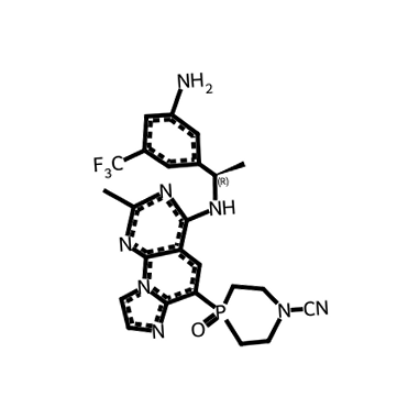 Cc1nc(N[C@H](C)c2cc(N)cc(C(F)(F)F)c2)c2cc(P3(=O)CCN(C#N)CC3)c3nccn3c2n1